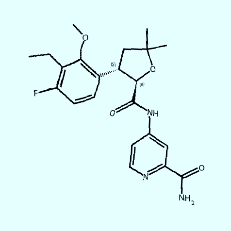 CCc1c(F)ccc([C@@H]2CC(C)(C)O[C@H]2C(=O)Nc2ccnc(C(N)=O)c2)c1OC